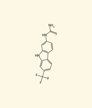 NC(=S)Nc1ccc2c(c1)[nH]c1cc(C(F)(F)F)ccc12